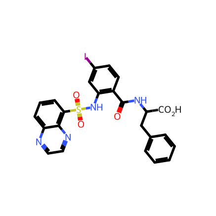 O=C(NC(Cc1ccccc1)C(=O)O)c1ccc(I)cc1NS(=O)(=O)c1cccc2nccnc12